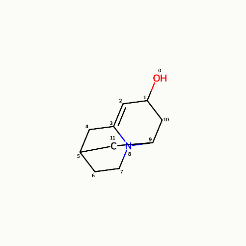 OC1C=C2CC3CCN2C(C1)C3